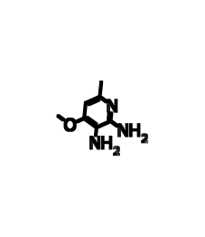 COc1cc(C)nc(N)c1N